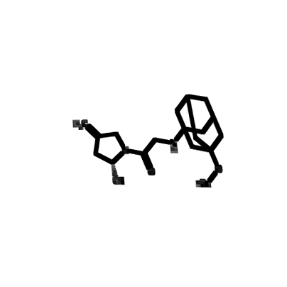 C=C1C[C@@H](C#N)N(C(=O)CNC23CC4CC(C2)CC(OCCCC)(C4)C3)C1